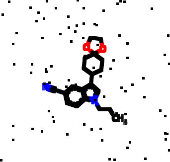 CCCn1cc(C2CCC3(CC2)OCCO3)c2cc(C#N)ccc21